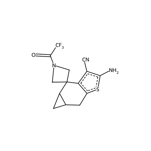 N#Cc1c(N)sc2c1C1(CN(C(=O)C(F)(F)F)C1)C1CC1C2